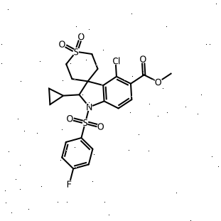 COC(=O)c1ccc2c(c1Cl)C1(CCS(=O)(=O)CC1)C(C1CC1)N2S(=O)(=O)c1ccc(F)cc1